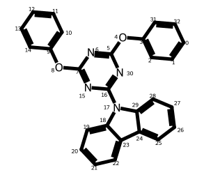 c1ccc(Oc2nc(Oc3ccccc3)nc(-n3c4ccccc4c4ccccc43)n2)cc1